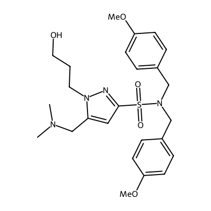 COc1ccc(CN(Cc2ccc(OC)cc2)S(=O)(=O)c2cc(CN(C)C)n(CCCO)n2)cc1